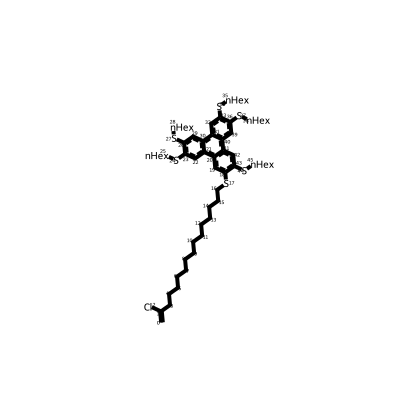 C=C(Cl)CCCCCCCCCCCCCCSc1cc2c3cc(SCCCCCC)c(SCCCCCC)cc3c3cc(SCCCCCC)c(SCCCCCC)cc3c2cc1SCCCCCC